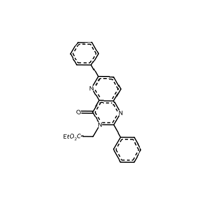 CCOC(=O)Cn1c(-c2ccccc2)nc2ccc(-c3ccccc3)nc2c1=O